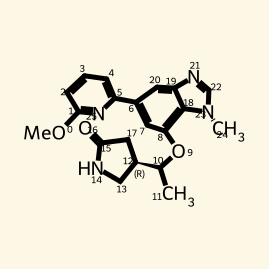 COc1cccc(-c2cc(OC(C)[C@H]3CNC(=O)C3)c3c(c2)ncn3C)n1